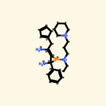 CCN(CCCN1CCCCC1)P1/C(=C(/N)CC2=CC=CC2)C1(N)c1ccccc1